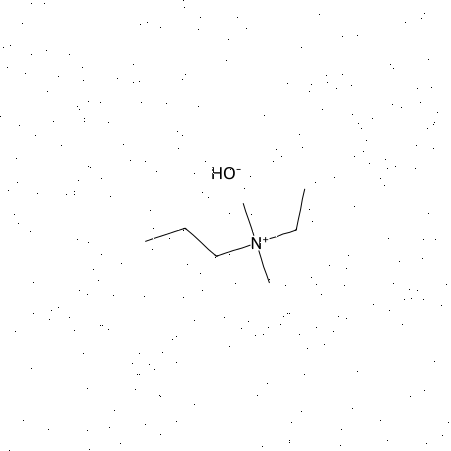 CCC[N+](C)(C)CC.[OH-]